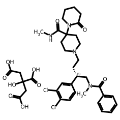 CNC(=O)C1(N2CCCCC2=O)CCN(CC[C@H](CN(C)C(=O)c2ccccc2)c2ccc(Cl)c(Cl)c2)CC1.O=C(O)CC(O)(CC(=O)O)C(=O)O